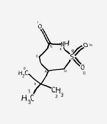 CC(C)(C)C1CC(=O)NS(=O)(=O)C1